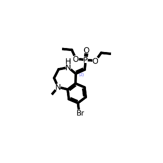 CCOP(=O)(/C=C1\NCCN(C)c2cc(Br)ccc21)OCC